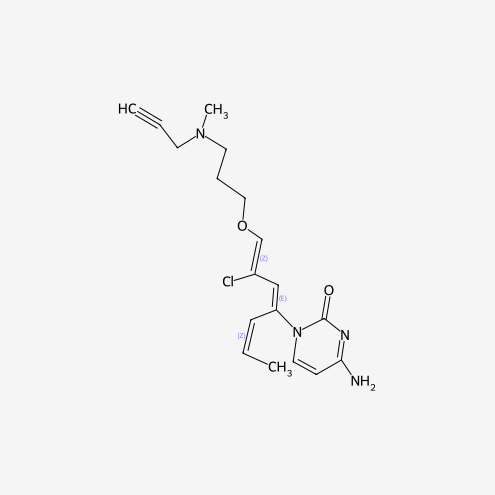 C#CCN(C)CCCO/C=C(Cl)/C=C(\C=C/C)n1ccc(N)nc1=O